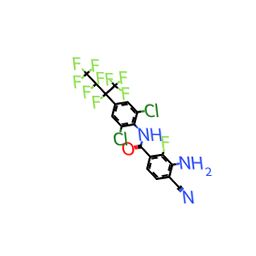 N#Cc1ccc(C(=O)Nc2c(Cl)cc(C(F)(C(F)(F)F)C(F)(F)C(F)(F)F)cc2Cl)c(F)c1N